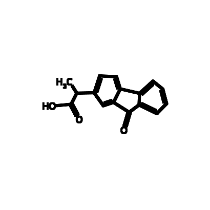 CC(C(=O)O)c1ccc2c(c1)C(=O)c1ccccc1-2